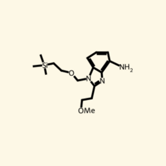 COCCc1nc2c(N)cccc2n1COCC[Si](C)(C)C